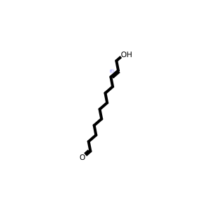 O=CCCCCCCCC/C=C/CO